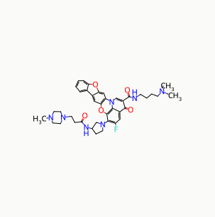 CN(C)CCCCNC(=O)c1cn2c3c(c(N4CCC(NC(=O)CCN5CCN(C)CC5)C4)c(F)cc3c1=O)Oc1cc3c(cc1-2)oc1ccccc13